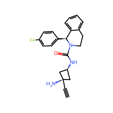 C#C[C@]1(N)C[C@@H](NC(=O)N2CCc3ccccc3[C@@H]2c2ccc(F)cc2)C1